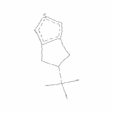 CC(C)(C)C1Cc2cscc2C1